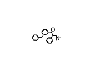 CN(C)/C=C(/C(=O)c1cccc(Cc2ccccc2)c1)c1ccccc1